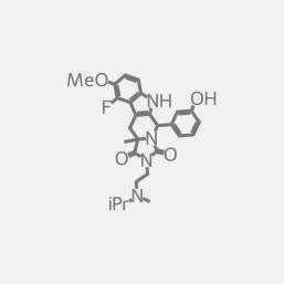 COc1ccc2[nH]c3c(c2c1F)CC1(C)C(=O)N(CCN(C)C(C)C)C(=O)N1C3c1cccc(O)c1